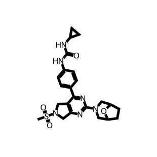 CS(=O)(=O)N1Cc2nc(N3CC4CCC(C3)O4)nc(-c3ccc(NC(=O)NC4CC4)cc3)c2C1